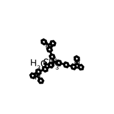 CC1(C)c2cc(-c3ccc4c5ccccc5n(-c5ccccc5)c4c3)ccc2-c2ccc(N(c3ccc(-c4ccc(-c5ccc6c7ccccc7n(-c7ccccc7)c6c5)cc4)cc3)c3ccc(-c4ccc5c(c4)c4ccccc4n5-c4ccccc4)cc3)cc21